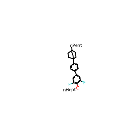 CCCCCCCOc1c(F)cc(-c2ccc(C34CCC(CCCCC)(CC3)CC4)cc2)cc1F